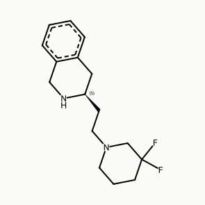 FC1(F)CCCN(CC[C@@H]2Cc3ccccc3CN2)C1